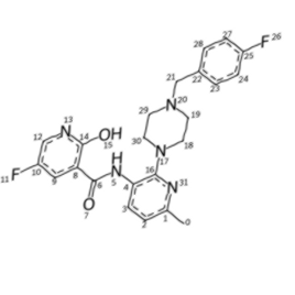 Cc1ccc(NC(=O)c2cc(F)cnc2O)c(N2CCN(Cc3ccc(F)cc3)CC2)n1